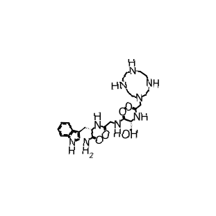 NC(=O)[C@H](Cc1c[nH]c2ccccc12)NC(=O)CNC(=O)[C@@H](CO)NC(=O)CN1CCNCCNCCNCC1